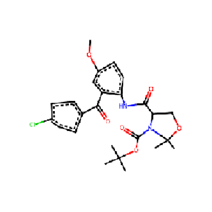 COc1ccc(NC(=O)C2COC(C)(C)N2C(=O)OC(C)(C)C)c(C(=O)c2ccc(Cl)cc2)c1